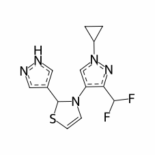 FC(F)c1nn(C2CC2)cc1N1C=CSC1c1cn[nH]c1